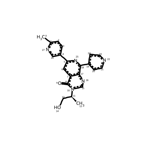 Cc1ccc(-c2cc3c(=O)n([C@@H](C)CO)cnc3c(-c3ccncc3)n2)cn1